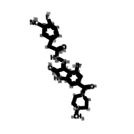 CN1CCN(C(=O)c2cc(Br)c3c(c2)NC(=O)/C3=N\NC(=O)Cc2ccc(F)c(C#N)c2)CC1